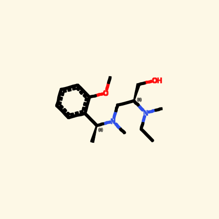 CCN(C)[C@H](CO)CN(C)[C@@H](C)c1ccccc1OC